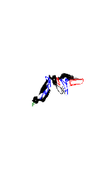 N#Cc1cc(-c2cnc3ccc(N4CCCC4c4cccc(F)c4)nn23)ccc1OC[C@H]1CCC(=O)N1